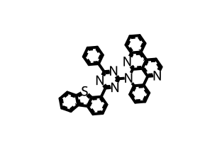 c1ccc(-c2nc(-c3cccc4c3sc3ccccc34)nc(N3c4ccccc4-c4nccc5c4c3nc3ccccc35)n2)cc1